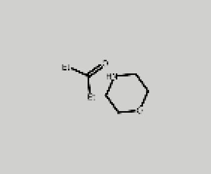 C1COCCN1.CCC(=O)CC